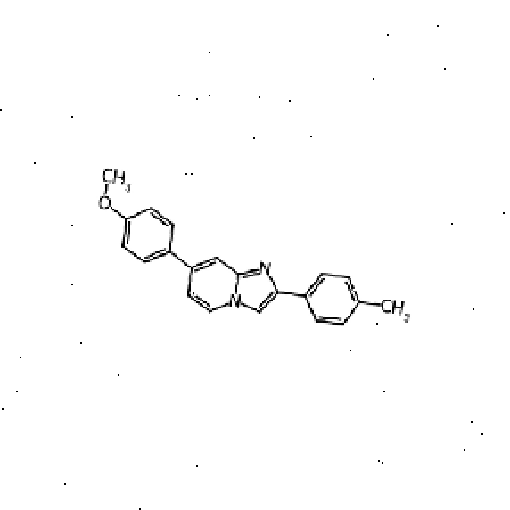 COc1ccc(-c2ccn3cc(-c4ccc(C)cc4)nc3c2)cc1